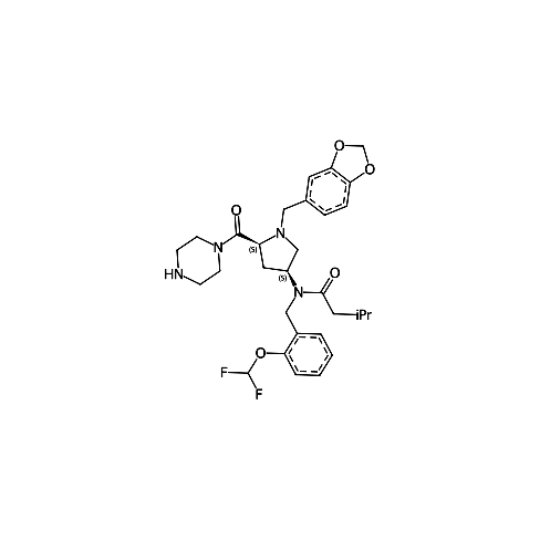 CC(C)CC(=O)N(Cc1ccccc1OC(F)F)[C@H]1C[C@@H](C(=O)N2CCNCC2)N(Cc2ccc3c(c2)OCO3)C1